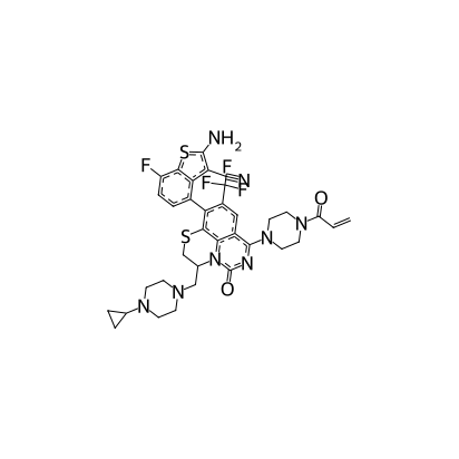 C=CC(=O)N1CCN(c2nc(=O)n3c4c(c(-c5ccc(F)c6sc(N)c(C#N)c56)c(C(F)(F)F)cc24)SCC3CN2CCN(C3CC3)CC2)CC1